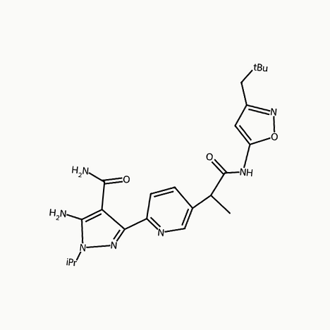 CC(C(=O)Nc1cc(CC(C)(C)C)no1)c1ccc(-c2nn(C(C)C)c(N)c2C(N)=O)nc1